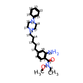 CCN(OC)C(=O)c1ccc(CCCCCN2CCN(c3ccccc3)CC2)cc1N